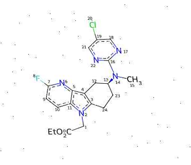 CCOC(=O)Cn1c2c(c3nc(F)ccc31)C[C@@H](N(C)c1ncc(Cl)cn1)CC2